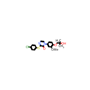 COc1cc(-n2ccnc(Sc3ccc(Cl)cc3)c2=O)ccc1OCC(C)(C)O